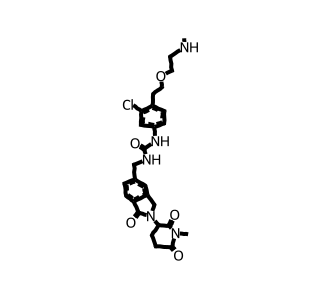 CNCCOCCc1ccc(NC(=O)NCc2ccc3c(c2)CN(C2CCC(=O)N(C)C2=O)C3=O)cc1Cl